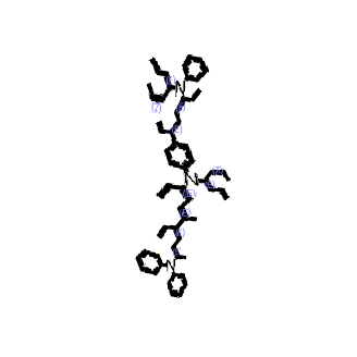 C=C/C=C(\C=C/C)N(/C(C=C)=C/C=C(\C=C)c1ccc(N(/C(C=C)=C/C=C(C)/C(C=C)=C/C=C(\C)N(c2ccccc2)c2ccccc2)C(/C=C\C)=C/C=C)cc1)c1ccccc1